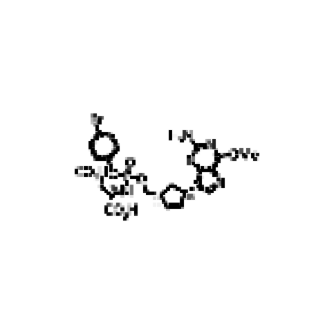 COc1nc(N)nc2c1ncn2[C@H]1C=C[C@@H](COP(=O)(N[C@@H](CC(=O)O)C(=O)O)Oc2ccc(Br)cc2)C1